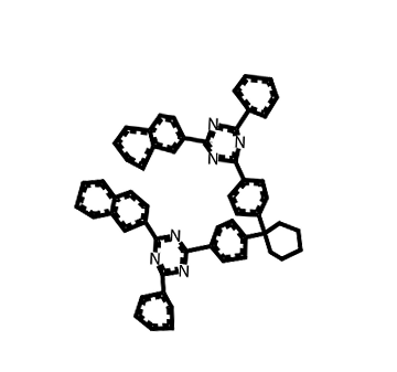 c1ccc(-c2nc(-c3ccc(C4(c5ccc(-c6nc(-c7ccccc7)nc(-c7ccc8ccccc8c7)n6)cc5)CCCCC4)cc3)nc(-c3ccc4ccccc4c3)n2)cc1